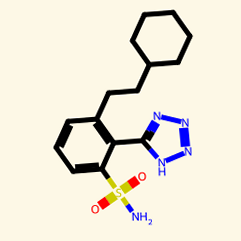 NS(=O)(=O)c1cccc(CCC2CCCCC2)c1-c1nnn[nH]1